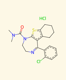 CN(C)C(=O)N1CCN=C(c2ccccc2Cl)c2c1sc1c2CCCC1.Cl